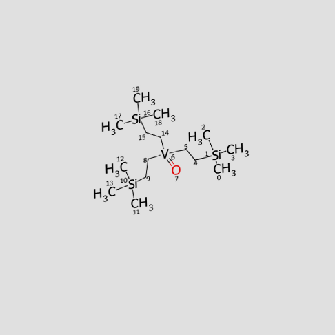 C[Si](C)(C)C[CH2][V](=[O])([CH2]C[Si](C)(C)C)[CH2]C[Si](C)(C)C